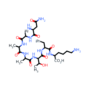 CC(C)CC(NC(=O)C(NC(=O)C(C)NC(=O)C(C)NC(=O)C(NC(=O)C(N)CC(N)=O)C(C)C)C(C)O)C(=O)NC(CCCCN)C(=O)O